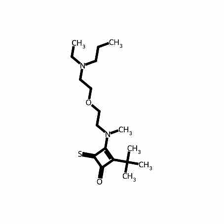 CCCN(CC)CCOCCN(C)c1c(C(C)(C)C)c(=O)c1=S